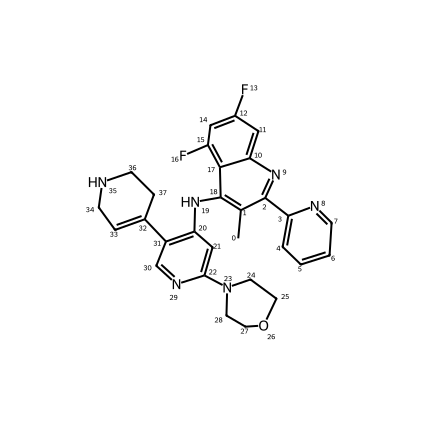 Cc1c(-c2ccccn2)nc2cc(F)cc(F)c2c1Nc1cc(N2CCOCC2)ncc1C1=CCNCC1